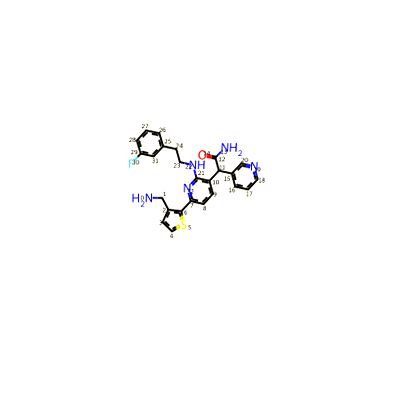 NCc1ccsc1-c1ccc(C(C(N)=O)c2cccnc2)c(NCCc2cccc(F)c2)n1